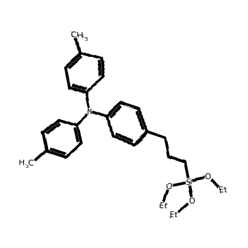 CCO[Si](CCCc1ccc(N(c2ccc(C)cc2)c2ccc(C)cc2)cc1)(OCC)OCC